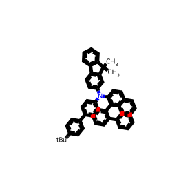 CC(C)(C)c1ccc(-c2ccc(N(c3ccc4c(c3)C(C)(C)c3ccccc3-4)c3ccc4ccccc4c3-c3ccccc3-c3ccccc3)cc2)cc1